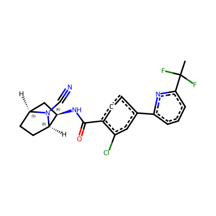 CC(F)(F)c1cccc(-c2ccc(C(=O)N[C@@H]3C[C@@H]4CC[C@H]3N4C#N)c(Cl)c2)n1